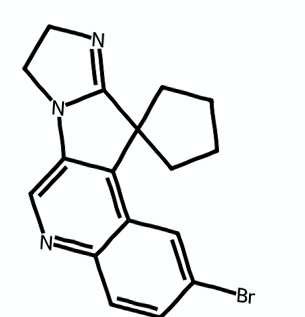 Brc1ccc2ncc3c(c2c1)C1(CCCC1)C1=NCCN13